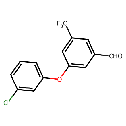 O=Cc1cc(Oc2cccc(Cl)c2)cc(C(F)(F)F)c1